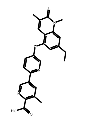 CCc1cc(Oc2ccc(-c3cnc(C(=O)O)c(C)c3)nc2)c2cc(C)c(=O)n(C)c2c1